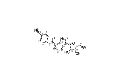 N#Cc1ccc(CNc2ncnc3c2ncn3C2O[C@H](CO)[C@@H](O)[C@H]2O)cc1